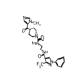 Cn1cncc1C(=O)C1CCN(C(=O)NCCNC(=O)c2cn(-c3ccccc3)nc2C(F)(F)F)CC1